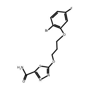 NC(=O)c1nnc(OCCCOc2cc(F)ccc2Br)s1